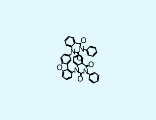 O=c1c2ccccc2n(-c2ccc3oc4cccc(-n5c(=O)n(-c6ccccc6)c(=O)c6ccccc65)c4c3c2)c(=O)n1-c1ccccc1